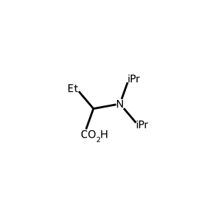 CCC(C(=O)O)N(C(C)C)C(C)C